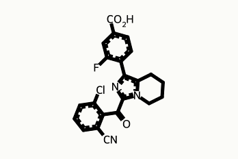 N#Cc1cccc(Cl)c1C(=O)c1nc(-c2ccc(C(=O)O)cc2F)c2n1CCCC2